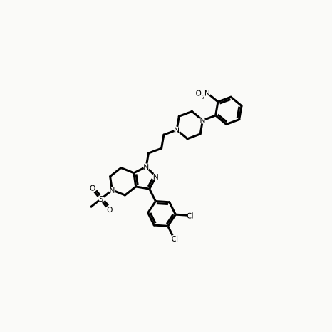 CS(=O)(=O)N1CCc2c(c(-c3ccc(Cl)c(Cl)c3)nn2CCCN2CCN(c3ccccc3[N+](=O)[O-])CC2)C1